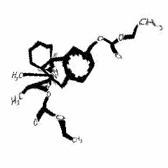 CCOC(=O)Oc1ccc2c(c1)[C@@]13CCCC[C@H]1[C@@H](C2)[N+](C)(C(C)OC(=O)OCC)CC3